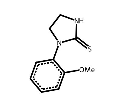 COc1ccccc1N1CCNC1=S